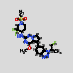 COc1nc(N[C@@H]2CCN(S(C)(=O)=O)CC2(F)F)nn2ccc(-c3ccc4nnn([C@H](C)CF)c4c3)c12